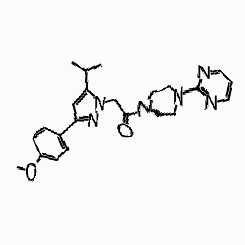 COc1ccc(-c2cc(C(C)C)n(CC(=O)N3CCN(c4ncccn4)CC3)n2)cc1